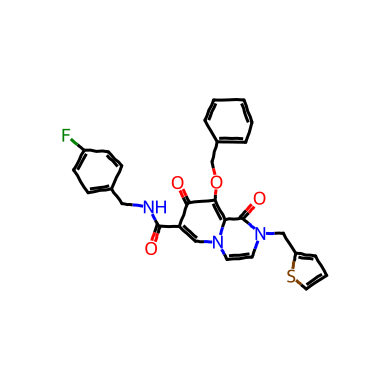 O=C(NCc1ccc(F)cc1)c1cn2ccn(Cc3cccs3)c(=O)c2c(OCc2ccccc2)c1=O